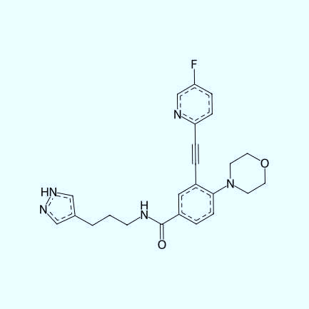 O=C(NCCCc1cn[nH]c1)c1ccc(N2CCOCC2)c(C#Cc2ccc(F)cn2)c1